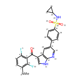 CNc1ccc(F)c(C(=O)c2c[nH]c3ncc(-c4ccc(S(=O)(=O)NC5CC5)cc4)cc23)c1F